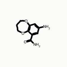 NC(=O)c1cc(N)cc2c1OCCCO2